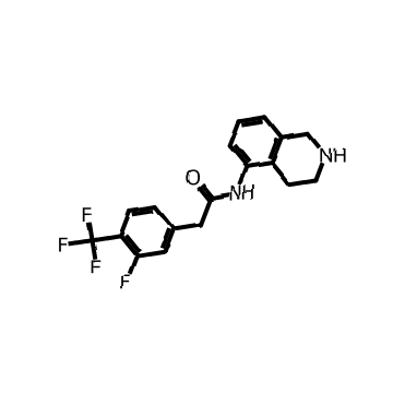 O=C(Cc1ccc(C(F)(F)F)c(F)c1)Nc1cccc2c1CCNC2